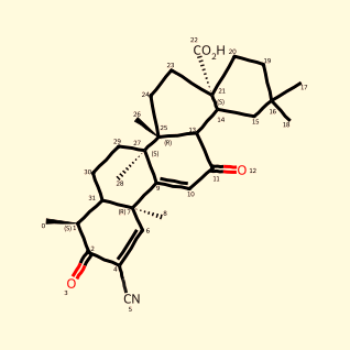 C[C@@H]1C(=O)C(C#N)=C[C@]2(C)C3=CC(=O)C4C5CC(C)(C)CC[C@]5(C(=O)O)CC[C@@]4(C)[C@]3(C)CCC12